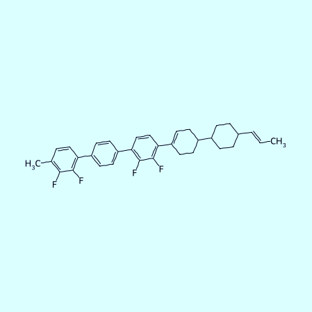 C/C=C/C1CCC(C2CC=C(c3ccc(-c4ccc(-c5ccc(C)c(F)c5F)cc4)c(F)c3F)CC2)CC1